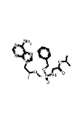 CC(C)OC(=O)CN[P@](=O)(CO[C@H](C)Cn1cnc2c(N)ncnc21)OCc1ccccc1